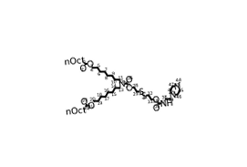 CCCCCCCCC(=O)OCCCCCCCCN(CCCCCCCCOC(=O)CCCCCCCC)C(=O)OCCSSCCOC(=O)NCCN1CCN(C)CC1